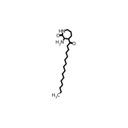 CCCCCCCCCCCCCCCC(=O)C1CCCNC(=O)C1N